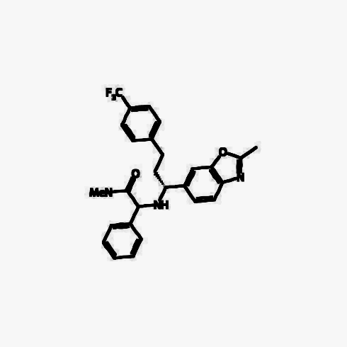 CNC(=O)C(N[C@H](CCc1ccc(C(F)(F)F)cc1)c1ccc2nc(C)oc2c1)c1ccccc1